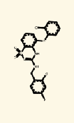 O=S1(=O)N=C(NCc2ccc(F)cc2Cl)Nc2c(Oc3ccccc3Cl)cccc21